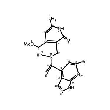 COCc1cc(C)[nH]c(=O)c1CN(C(=O)c1cc(Br)nc2[nH]ncc12)C(C)C